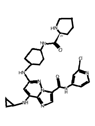 O=C(Nc1ccnc(Cl)c1)c1cnc2c(NC3CC3)cc(NC3CCC(NC(=O)[C@@H]4CCCCN4)CC3)nn12